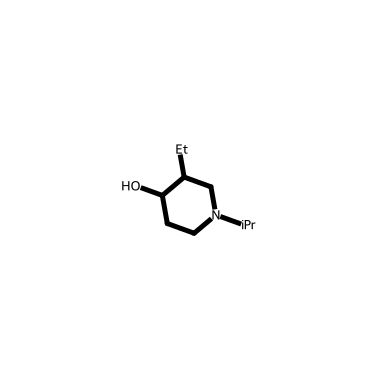 CCC1CN(C(C)C)CCC1O